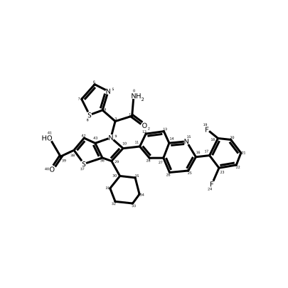 NC(=O)C(c1nccs1)n1c(-c2ccc3nc(-c4c(F)cccc4F)ccc3c2)c(C2CCCCC2)c2sc(C(=O)O)cc21